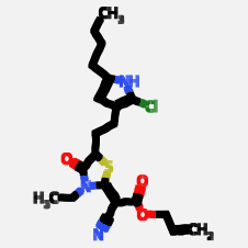 C=CCOC(=O)/C(C#N)=C1\SC(CCc2cc(CCCC)[nH]c2Cl)C(=O)N1CC